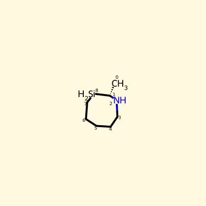 C[C@@H]1NCCCCC[SiH2]1